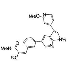 CNC(=O)C(C#N)=Cc1cccc(-c2cnc3[nH]cc(-c4ccnc(OC)c4)c3c2)c1